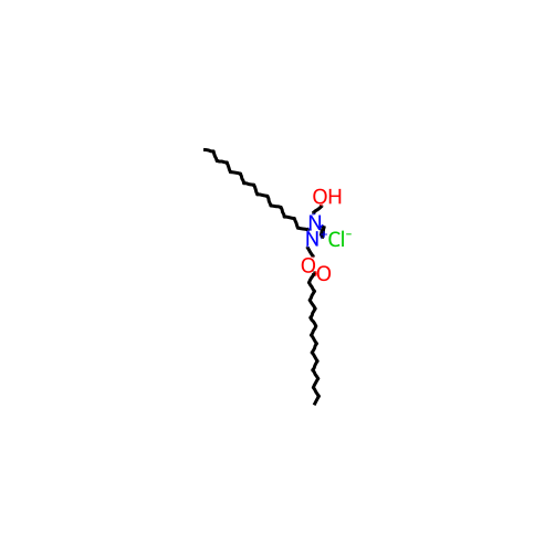 CCCCCCCCCCCCCCCC(=O)OCC[n+]1ccn(CCO)c1CCCCCCCCCCCCCCC.[Cl-]